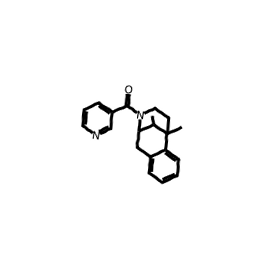 CC1C2Cc3ccccc3C1(C)CCN2C(=O)c1cccnc1